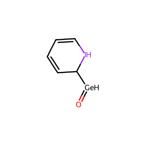 [O]=[GeH][CH]1C=CC=C[IH]1